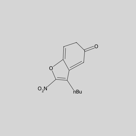 CCCCc1c([N+](=O)[O-])oc2c1=CC(=O)CC=2